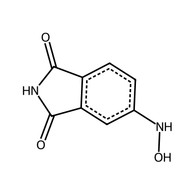 O=C1NC(=O)c2cc(NO)ccc21